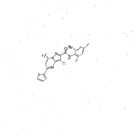 O=C(Nc1c(F)cc(F)cc1Br)c1nn2c(C(F)(F)F)cc(-c3cccs3)nc2c1Cl